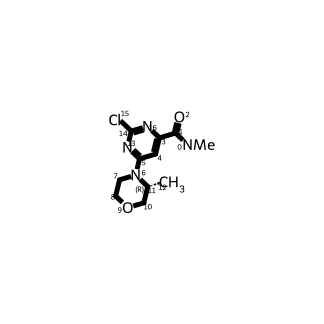 CNC(=O)c1cc(N2CCOC[C@H]2C)nc(Cl)n1